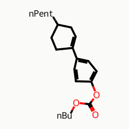 CCCCCC1CC=C(c2ccc(OC(=O)OCCCC)cc2)CC1